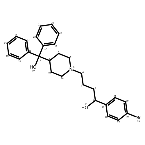 OC(CCCN1CCC(C(O)(c2ccccc2)c2ccccc2)CC1)c1ccc(Br)cc1